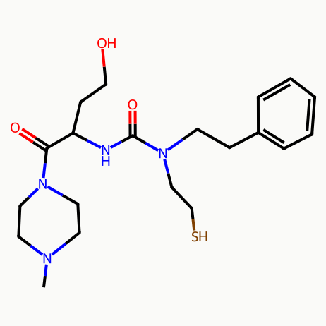 CN1CCN(C(=O)C(CCO)NC(=O)N(CCS)CCc2ccccc2)CC1